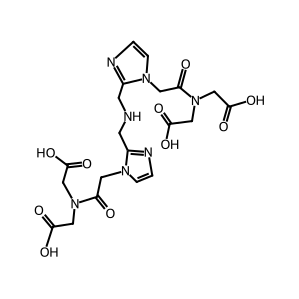 O=C(O)CN(CC(=O)O)C(=O)Cn1ccnc1CNCc1nccn1CC(=O)N(CC(=O)O)CC(=O)O